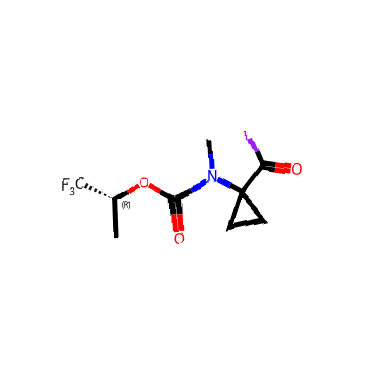 C[C@@H](OC(=O)N(C)C1(C(=O)I)CC1)C(F)(F)F